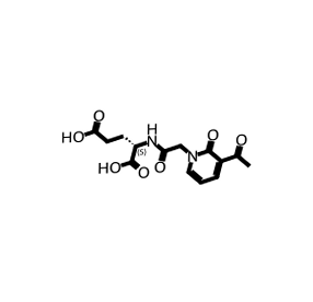 CC(=O)c1cccn(CC(=O)N[C@@H](CCC(=O)O)C(=O)O)c1=O